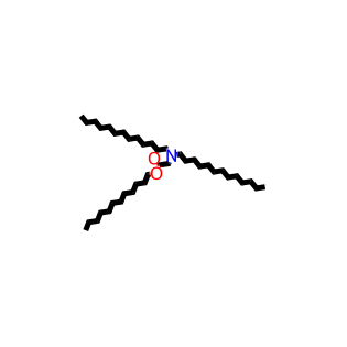 CCCCCCCCCCCCCN(CCCCCCCCCCCCC)CC(=O)OCCCCCCCCCCCC